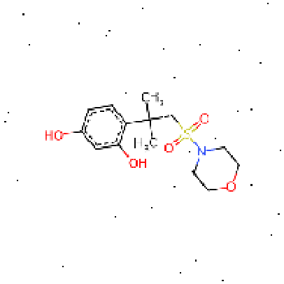 CC(C)(CS(=O)(=O)N1CCOCC1)c1ccc(O)cc1O